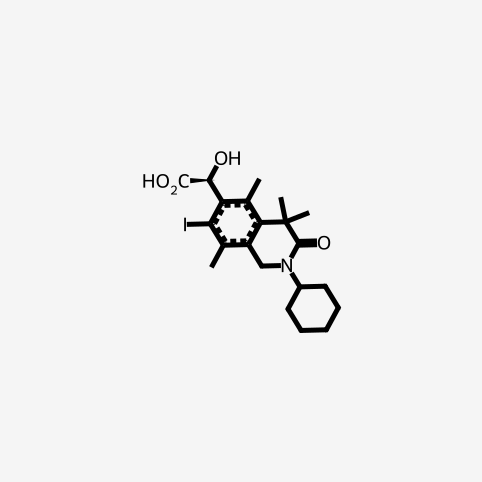 Cc1c(I)c([C@H](O)C(=O)O)c(C)c2c1CN(C1CCCCC1)C(=O)C2(C)C